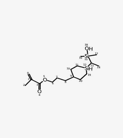 C=C(C)C(=O)OCCCC1CC[SiH](C(C)[Si](C)(C)O)CC1